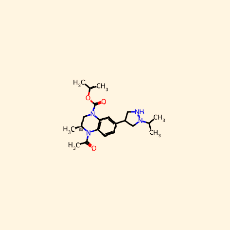 CC(=O)N1c2ccc(C3CNN(C(C)C)C3)cc2N(C(=O)OC(C)C)C[C@@H]1C